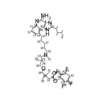 CCCCc1nc2c(N)nc3cccc(CCCCCN(C)CC(C)(C)COCC(C)(C)CC(=O)Oc4c(F)c(F)cc(F)c4F)c3c2[nH]1